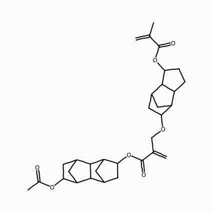 C=C(C)C(=O)OC1CCC2C3CC(CC3OCC(=C)C(=O)OC3CC4CC3C3C5CC(OC(C)=O)C(C5)C43)C12